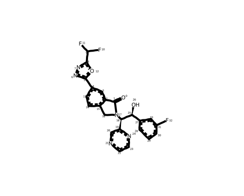 O=C1c2cc(-c3nnc(C(F)F)o3)ccc2CN1[C@H](c1cnccn1)[C@@H](O)c1cccc(F)c1